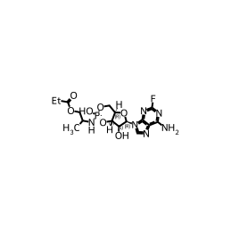 CCC(=O)OCC(C)N[P]1(O)OC[C@H]2O[C@@H](n3cnc4c(N)nc(F)nc43)[C@@H](O)[C@@H]2O1